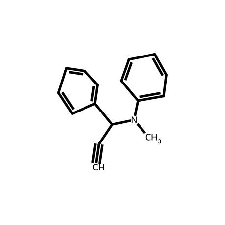 C#CC(c1ccccc1)N(C)c1ccccc1